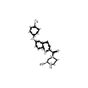 CC(C)[C@H]1CN(C(=O)c2ccc3cc(Oc4ccc(C#N)cc4)ccc3n2)CCN1